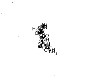 CNC(=O)NC(=O)NC(C(=O)NC1C(=O)N2CC(C(=O)O)(C(C)Sc3nnn[nH]3)CS[C@H]12)c1cccs1